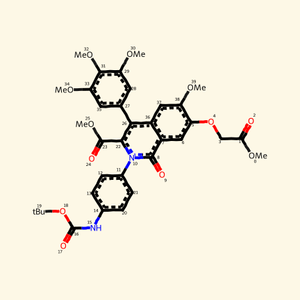 COC(=O)COc1cc2c(=O)n(-c3ccc(NC(=O)OC(C)(C)C)cc3)c(C(=O)OC)c(-c3cc(OC)c(OC)c(OC)c3)c2cc1OC